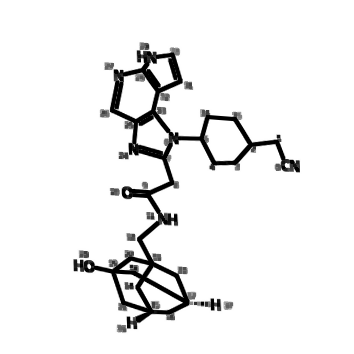 N#CCC1CCC(n2c(CC(=O)NCC34C[C@@H]5C[C@@H](CC(O)(C5)C3)C4)nc3cnc4[nH]ccc4c32)CC1